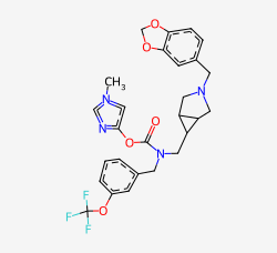 Cn1cnc(OC(=O)N(Cc2cccc(OC(F)(F)F)c2)CC2C3CN(Cc4ccc5c(c4)OCO5)CC32)c1